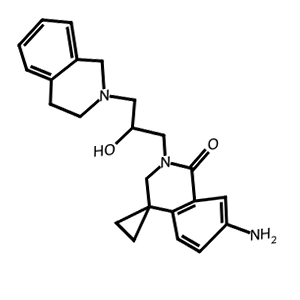 Nc1ccc2c(c1)C(=O)N(CC(O)CN1CCc3ccccc3C1)CC21CC1